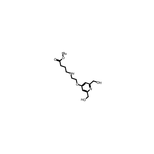 CC(C)(C)OC(=O)CCCNCCOc1cc(CO)nc(CO)c1